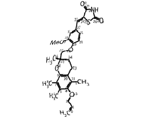 C=CCOc1c(C)c(C)c2c(c1C)CCC(C)(COc1ccc(/C=C3\SC(=O)NC3=O)cc1OC)O2